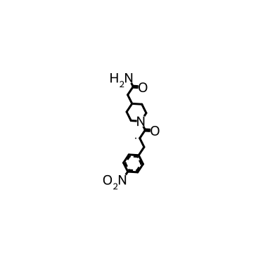 NC(=O)CC1CCN(C(=O)[CH]Cc2ccc([N+](=O)[O-])cc2)CC1